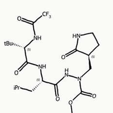 CC(C)C[C@H](NC(=O)[C@@H](NC(=O)C(F)(F)F)C(C)(C)C)C(=O)NN(C[C@@H]1CCNC1=O)C(=O)OC(C)(C)C